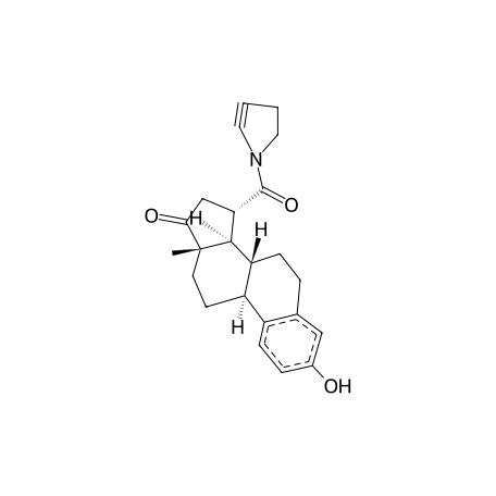 C[C@]12CC[C@@H]3c4ccc(O)cc4CC[C@H]3[C@@H]1[C@@H](C(=O)N1C#CCC1)CC2=O